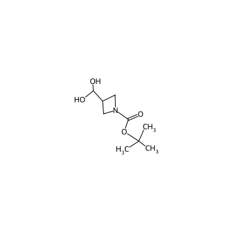 CC(C)(C)OC(=O)N1CC(C(O)O)C1